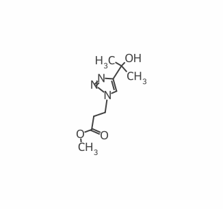 COC(=O)CCn1cc(C(C)(C)O)nn1